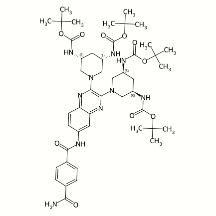 CC(C)(C)OC(=O)N[C@@H]1C[C@H](NC(=O)OC(C)(C)C)CN(c2nc3ccc(NC(=O)c4ccc(C(N)=O)cc4)cc3nc2N2C[C@H](NC(=O)OC(C)(C)C)C[C@H](NC(=O)OC(C)(C)C)C2)C1